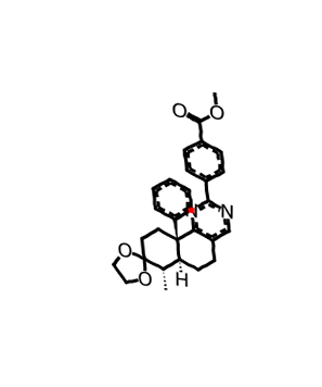 COC(=O)c1ccc(-c2ncc3c(n2)[C@@]2(c4ccccc4)CCC4(OCCO4)[C@@H](C)[C@@H]2CC3)cc1